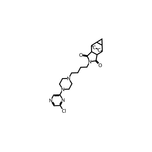 O=C1C2C3CCC(C4CC43)C2C(=O)N1CCCCN1CCN(c2cncc(Cl)n2)CC1